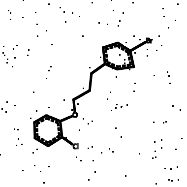 Clc1ccccc1OCCCc1ccc(Br)cc1